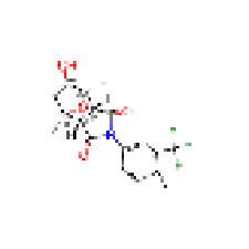 Cc1ccc(N2C(=O)[C@@H]3[C@H](C2=O)[C@@]2(C)C[C@@H](O)[C@]3(C)O2)cc1C(F)(F)F